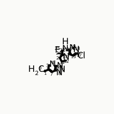 C=Cc1cnc2c(c1)nnn2[C@H]1CN2c3cc(Cl)nnc3NC[C@@]2(CF)C1